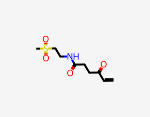 C=CC(=O)CCC(=O)NCCS(C)(=O)=O